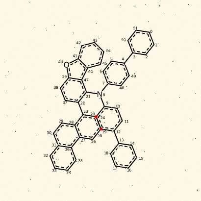 c1ccc(-c2ccc(N(c3ccc(-c4ccccc4)cc3)c3c(-c4cccc5c4ccc4ccccc45)ccc4oc5ccccc5c34)cc2)cc1